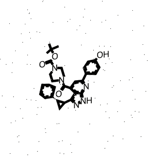 CC(C)(C)OC(=O)N1CCN(C(=O)c2cc(-c3ccc(O)cc3)nc3[nH]nc(C4C[C@@H]4c4ccccc4)c23)CC1